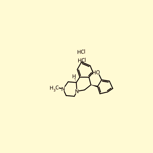 CN1CCN2C[C@H](c3ccccc3O)c3ccccc3[C@@H]2C1.Cl.Cl